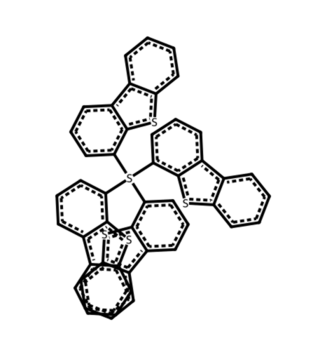 c1ccc2c(c1)sc1c(S(c3cccc4c3sc3ccccc34)(c3cccc4c3sc3ccccc34)c3cccc4c3sc3ccccc34)cccc12